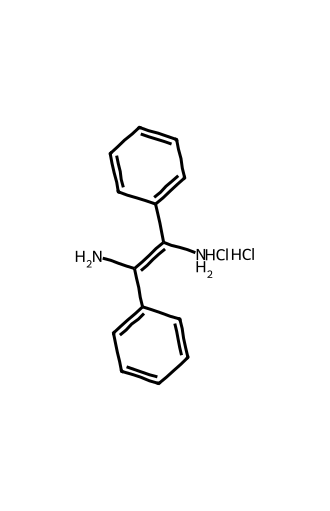 Cl.Cl.NC(=C(N)c1ccccc1)c1ccccc1